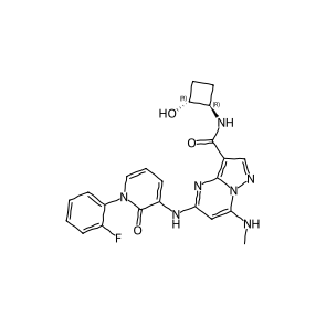 CNc1cc(Nc2cccn(-c3ccccc3F)c2=O)nc2c(C(=O)N[C@@H]3CC[C@H]3O)cnn12